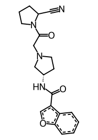 N#CC1CCCN1C(=O)CN1CC[C@H](NC(=O)c2coc3ccccc23)C1